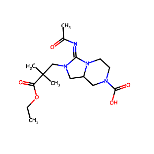 CCOC(=O)C(C)(C)CN1CC2CN(C(=O)O)CCN2C1=NC(C)=O